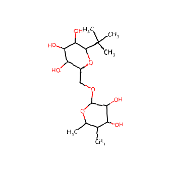 CC1OC(OCC2OC(C(C)(C)C)C(O)C(O)C2O)C(O)C(O)C1C